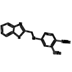 COc1cc(OCc2nc3ccccc3s2)ccc1NC(C)=O